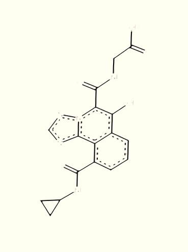 O=C(O)CNC(=O)c1c(O)c2cccc(C(=O)NC3CC3)c2c2ncnn12